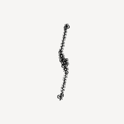 C=CC(=O)OCCCCCCCCCCCCCCCCCOc1ccc(C(=O)Oc2c(F)c(F)c(OC(=O)c3ccc(OCCCCCCCCCCCCCCCCCOC(=O)C=C)cc3)c(F)c2F)cc1